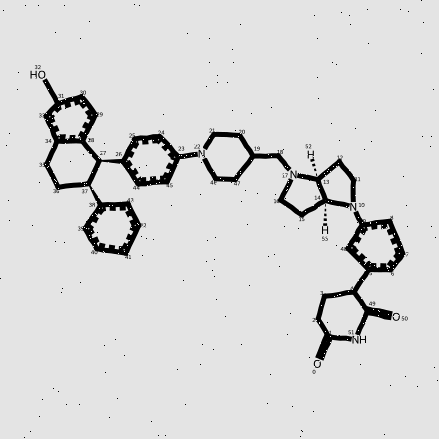 O=C1CCC(c2cccc(N3CC[C@H]4[C@@H]3CCN4CC3CCN(c4ccc([C@@H]5c6ccc(O)cc6CC[C@@H]5c5ccccc5)cc4)CC3)c2)C(=O)N1